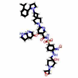 CC(C)c1ccccc1C1CCCN1C1CC2(CCN(c3cc(Oc4cnc5[nH]ccc5c4)c(C(=O)NS(=O)(=O)c4ccc(NCC5(O)CCN(C6COC6)CC5)c(N=O)c4)cn3)CC2)C1